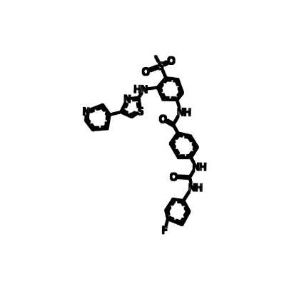 CS(=O)(=O)c1ccc(NC(=O)c2ccc(NC(=O)Nc3ccc(F)cc3)cc2)cc1Nc1nc(-c2cccnc2)cs1